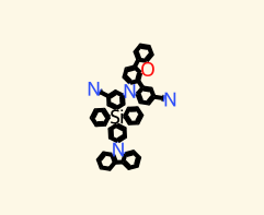 N#Cc1cc(-n2c3ccc(C#N)cc3c3c4oc5ccccc5c4ccc32)cc([Si](c2ccccc2)(c2ccccc2)c2ccc(-n3c4c(c5ccccc53)CCC=C4)cc2)c1